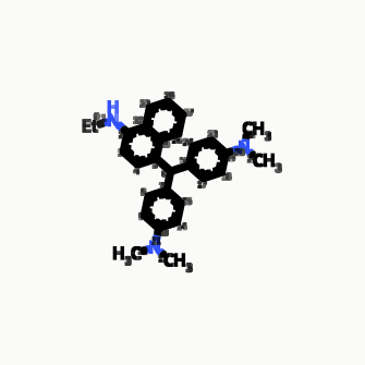 CCNc1ccc(C(c2ccc(N(C)C)cc2)c2ccc(N(C)C)cc2)c2ccccc12